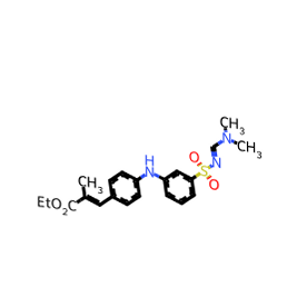 CCOC(=O)/C(C)=C/c1ccc(Nc2cccc(S(=O)(=O)/N=C/N(C)C)c2)cc1